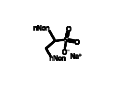 CCCCCCCCCCC(CCCCCCCCC)S(=O)(=O)[O-].[Na+]